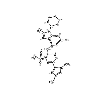 Cc1cn(C)c(-c2ccc(Nc3cc(Cl)nc4c3nc(C)n4C3CCCCO3)c(S(C)(=O)=O)c2)n1